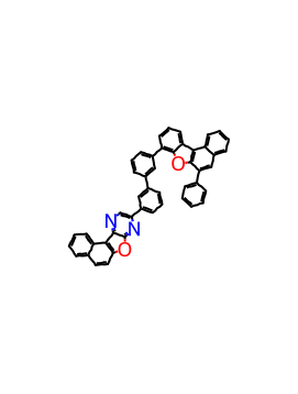 c1ccc(-c2cc3ccccc3c3c2oc2c(-c4cccc(-c5cccc(-c6cnc7c(n6)oc6ccc8ccccc8c67)c5)c4)cccc23)cc1